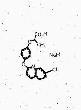 C[C@@H](Oc1ccc(Oc2ccc3ccc(Cl)cc3n2)cc1)C(=O)O.[NaH]